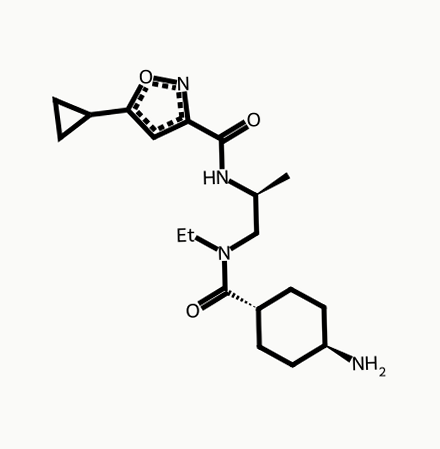 CCN(C[C@H](C)NC(=O)c1cc(C2CC2)on1)C(=O)[C@H]1CC[C@H](N)CC1